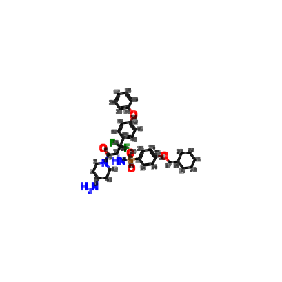 NC1CCN(C(=O)[C@@H](NS(=O)(=O)c2ccc(OCC3CCCCC3)cc2)C(F)(F)c2ccc(Oc3ccccc3)cc2)CC1